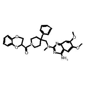 COc1cc2nc(N(C)CC3(c4ccccc4)CCN(C(=O)C4COc5ccccc5O4)CC3)nc(N)c2cc1OC